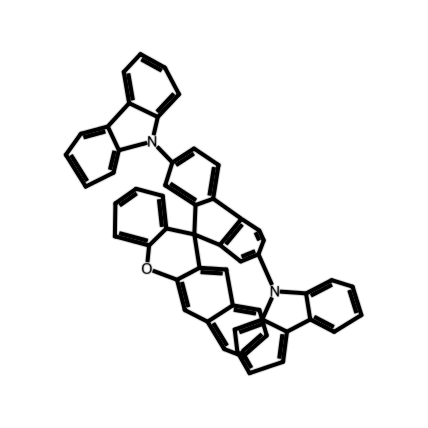 c1ccc2c(c1)Oc1cc3ccccc3cc1C21c2cc(-n3c4ccccc4c4ccccc43)ccc2-c2ccc(-n3c4ccccc4c4ccccc43)cc21